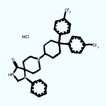 Cl.O=C1NCN(c2ccccc2)C12CCN(C1CCC(c3ccc(C(F)(F)F)cc3)(c3ccc(C(F)(F)F)cc3)CC1)CC2